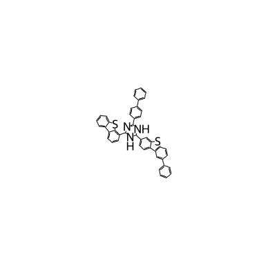 c1ccc(-c2ccc(C3=NC(c4cccc5c4sc4ccccc45)NC(c4ccc5c(c4)sc4ccc(-c6ccccc6)cc45)N3)cc2)cc1